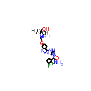 CC(C)(CO)CNCCOc1ccc2c(Nc3cnn(C(C(N)=O)c4cccc(F)c4F)c3)ncnc2c1